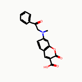 CN(CC(=O)c1ccccc1)c1ccc2cc(C(=O)O)c(=O)oc2c1